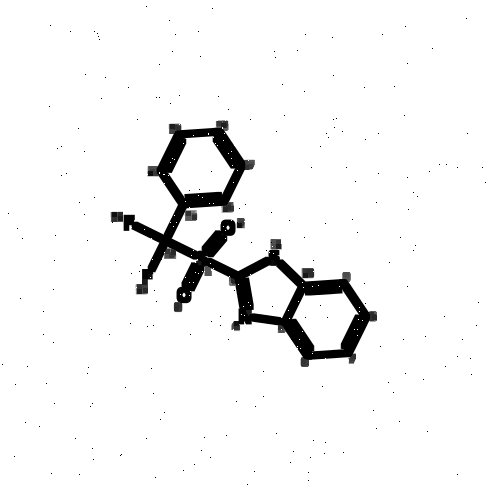 O=S(=O)(c1nc2ccccc2s1)C(F)(F)c1ccccc1